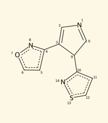 [C]1=NC=C(c2ccon2)C1c1ccsn1